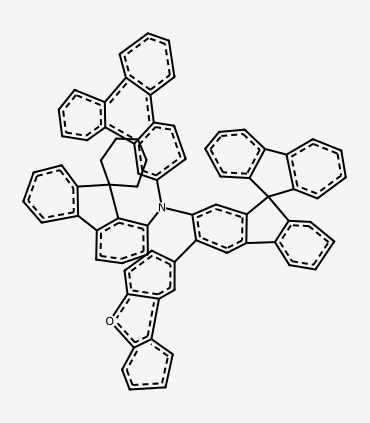 c1ccc2c(c1)-c1cccc(N(c3ccc4c5ccccc5c5ccccc5c4c3)c3cc4c(cc3-c3ccc5oc6ccccc6c5c3)-c3ccccc3C43c4ccccc4-c4ccccc43)c1C21CCCCC1